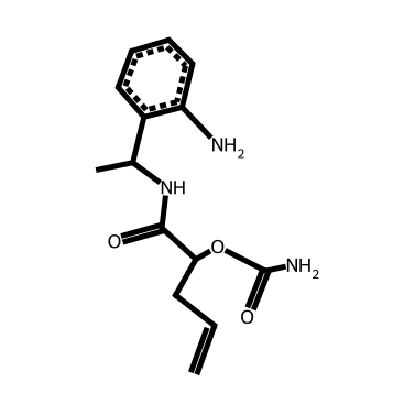 C=CCC(OC(N)=O)C(=O)NC(C)c1ccccc1N